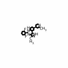 Cc1cc(-c2ccc3c(c2)-c2[nH]nc(C)c2N=C(c2c(F)cccc2F)N3)ccn1